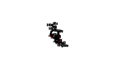 COC(=O)c1nc(-c2nc3oc2C24c5ccccc5N[C@H]2Oc2ccc(cc24)C[C@H](NC(=O)[C@@H](O)C(C)(C)C)C(=O)N[C@H]3C(C)C)oc1C